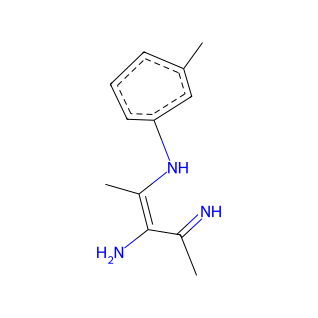 CC(=N)/C(N)=C(/C)Nc1cccc(C)c1